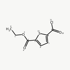 CCOC(=O)c1ccc(C(=O)Cl)s1